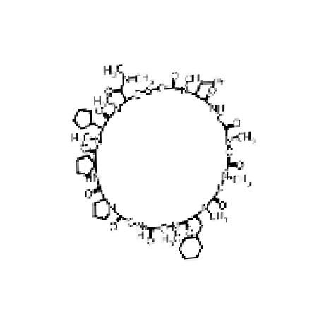 CC(C)CC1C(=O)NCC(=O)N(C)CC(=O)N(C)CC(=O)N(C)C(CC2CCCCC2)C(=O)N(C)CC(=O)NCC(=O)N2CCCC2C(=O)NC2(CCCC2)C(=O)N(C)C(C2CCCC2)C(=O)N(C)C(C(=O)N(C)C)CSCC(=O)N1C